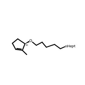 CCCCCCCCCCCCO[C@@H]1CCC=C1C